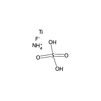 O=S(=O)(O)O.[F-].[NH4+].[Ti]